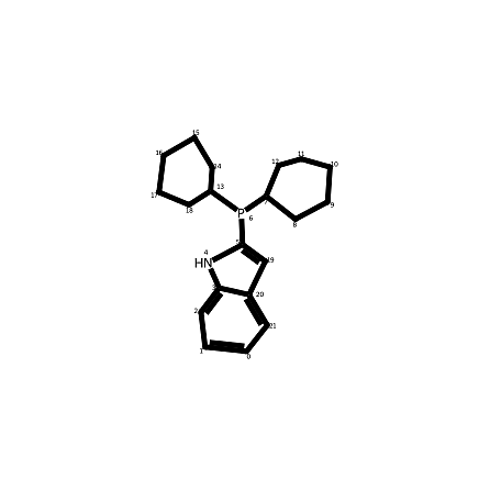 c1ccc2[nH]c(P(C3CCCCC3)C3CCCCC3)cc2c1